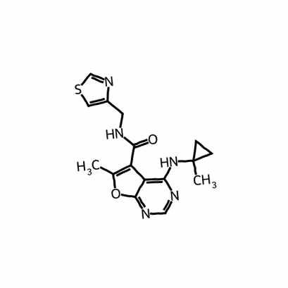 Cc1oc2ncnc(NC3(C)CC3)c2c1C(=O)NCc1cscn1